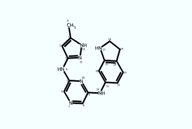 Cc1cc(Nc2cncc(Nc3ccc4c(c3)NCC4)n2)n[nH]1